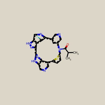 CC(C)C(=O)n1c2cncc(c2)c2ncc3[nH]nc(c4nc5c(cncc5c5ccc1s5)[nH]4)c3c2F